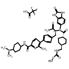 Cc1nc(C(=O)NC2CCC(N(C)C)CC2)ccc1-c1ccc(C[C@@H](C(N)=O)N(c2ccc3[nH]c(=O)[nH]c3c2)C(=O)[C@H]2CC[C@H](CNC(=O)OC(C)(C)C)CC2)cc1.O=C(O)C(F)(F)F